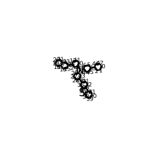 c1ccc(-c2ccc(N(c3cccc(-c4ccc5ccccc5c4)c3)c3cccc(-c4ccc5c(c4)sc4ccccc45)c3)cc2)cc1